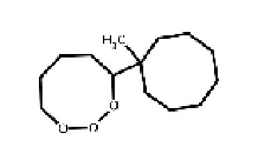 CC1(C2CCCCOOO2)CCCCCCC1